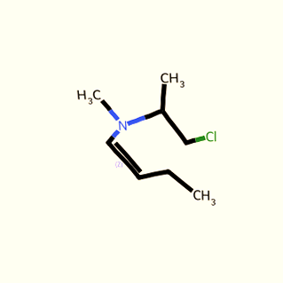 CC/C=C\N(C)C(C)CCl